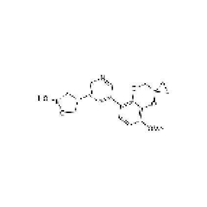 COc1ccc(-c2cncc(C3COB(O)C3)c2)c2c1OC1(CC1)CO2